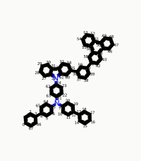 c1ccc(-c2ccc(N(c3ccc(-c4ccccc4)cc3)c3ccc(-n4c5ccccc5c5ccc(-c6cccc(-c7ccc8c9ccccc9c9ccccc9c8c7)c6)cc54)cc3)cc2)cc1